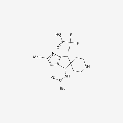 COc1cc2n(n1)CC1(CCNCC1)[C@@H]2N[S@@+]([O-])C(C)(C)C.O=C(O)C(F)(F)F